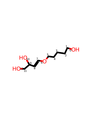 OCCCCCOC=CC(O)CO